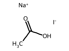 CC(=O)O.[I-].[Na+]